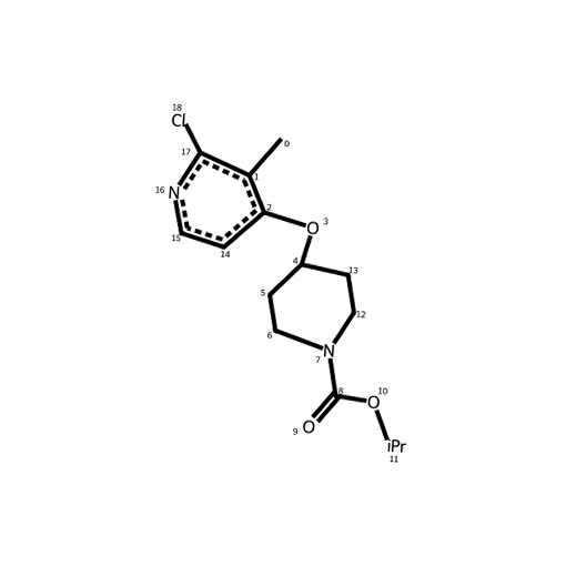 Cc1c(OC2CCN(C(=O)OC(C)C)CC2)ccnc1Cl